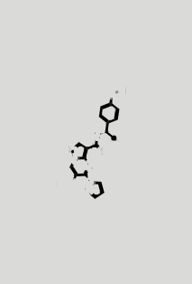 Cc1cn2ncc(C(=O)N[C@@H](c3ccc(OC(F)(F)F)cc3)C(C)(C)O)c2nc1-n1cccn1